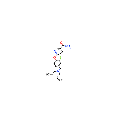 CC(C)CCN(CCC(C)C)Cc1ccc(Oc2ccc(C(N)=O)cn2)c(F)c1